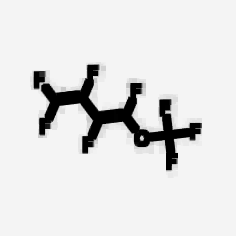 FC(F)=C(F)C(F)=C(F)OC(F)(F)F